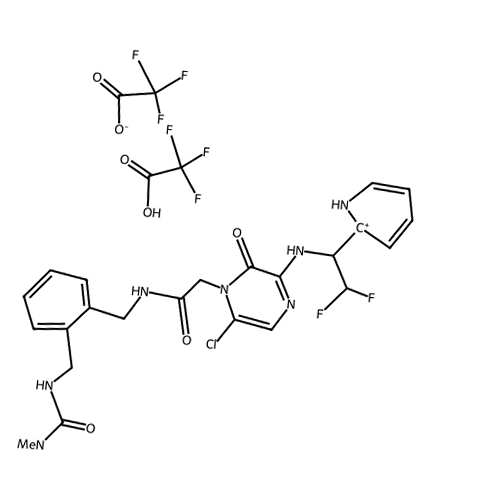 CNC(=O)NCc1ccccc1CNC(=O)Cn1c(Cl)cnc(NC([c+]2cccc[nH]2)C(F)F)c1=O.O=C(O)C(F)(F)F.O=C([O-])C(F)(F)F